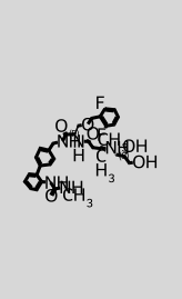 CNC(=O)Nc1ccccc1-c1ccc(CNC(=O)[C@@H](COCc2c(F)cccc2F)NC(=O)CC(C)(C)NC[C@H](O)CO)cc1